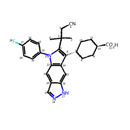 CC(C)(CC#N)c1c([C@H]2CC[C@H](C(=O)O)CC2)c2cc3[nH]ncc3cc2n1-c1ccc(F)cc1